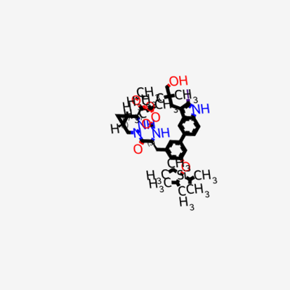 COC(=O)[C@H]1NN(C(=O)[C@H](Cc2cc(O[Si](C(C)C)(C(C)C)C(C)C)cc(-c3ccc4[nH]c(I)c(CC(C)(C)CO)c4c3)c2)NC(=O)OC(C)(C)C)C[C@@H]2C[C@@H]21